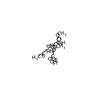 CCC(=O)CCCCCC(NC(=O)Cc1c(C)[nH]c2ccc(OC)cc12)c1ncc(CCC(=O)OC(=O)C(F)(F)F)[nH]1